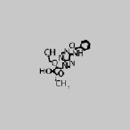 C#CCO[C@H]1C(O)[C@@H](CC)O[C@H]1n1cnc2c(NC(=O)c3ccccc3)ncnc21